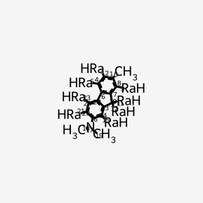 Cc1[c]([RaH])[c]([RaH])c2c([c]1[RaH])[C]([RaH])([RaH])c1[c]([RaH])c(N(C)C)[c]([RaH])[c]([RaH])c1-2